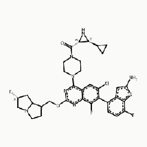 Nc1cc2c(-c3c(Cl)cc4c(N5CCN(C(=O)[C@@H]6N[C@H]6C6CC6)CC5)nc(OCC5CCN6C[C@H](F)CC56)nc4c3F)ccc(F)c2s1